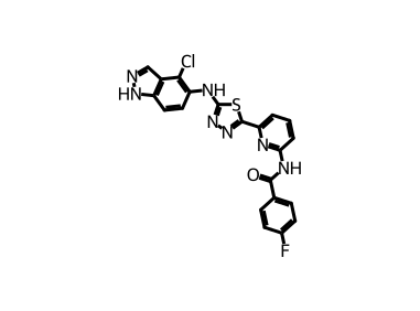 O=C(Nc1cccc(-c2nnc(Nc3ccc4[nH]ncc4c3Cl)s2)n1)c1ccc(F)cc1